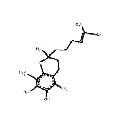 CCCCCCCC/C(=C/CCCC1(C)CCc2c(C)c(O)c(C)c(C)c2O1)[N+](=O)[O-]